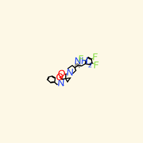 CN(Cc1ccccc1)C(=O)C1(C(=O)N2CCC([C@H](N)Cc3cc(F)c(F)cc3F)CC2)CC1